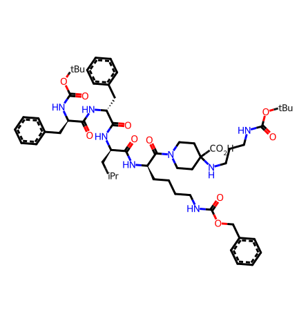 CC(C)C[C@@H](NC(=O)[C@@H](Cc1ccccc1)NC(=O)[C@@H](Cc1ccccc1)NC(=O)OC(C)(C)C)C(=O)N[C@H](CCCCNC(=O)OCc1ccccc1)C(=O)N1CCC(NCCCNC(=O)OC(C)(C)C)(C(=O)O)CC1